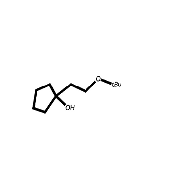 CC(C)(C)OCCC1(O)CCCC1